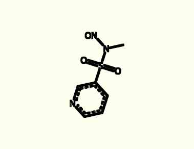 CN(N=O)S(=O)(=O)c1cccnc1